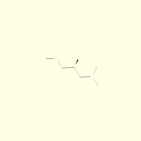 CCOC[C@@H](O)CN(C)C